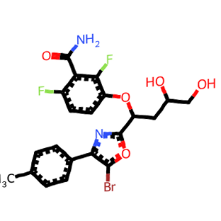 Cc1ccc(-c2nc(C(CC(O)CO)Oc3ccc(F)c(C(N)=O)c3F)oc2Br)cc1